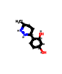 Cc1ccc(-c2ccc(O)cc2O)nn1